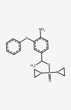 CC(OP(=O)(N1CC1)N1CC1)c1ccc([N+](=O)[O-])c(Oc2ccccc2)c1